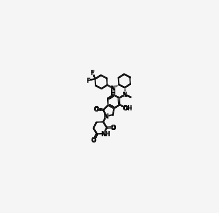 CN(c1ccc2c(c1O)CN(C1CCC(=O)NC1=O)C2=O)[C@H]1CCCC[C@H]1NC1CCC(F)(F)CC1